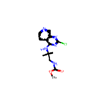 CC(C)(CNC(=O)OC(C)(C)C)Nc1nc(Cl)nc2cnccc12